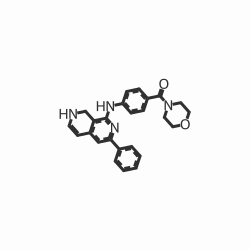 O=C(c1ccc(Nc2nc(-c3ccccc3)cc3c2CNC=C3)cc1)N1CCOCC1